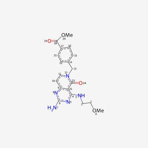 COCCNc1nc(N)nc2ccn(Cc3ccc(C(=O)OC)cc3)c(=O)c12